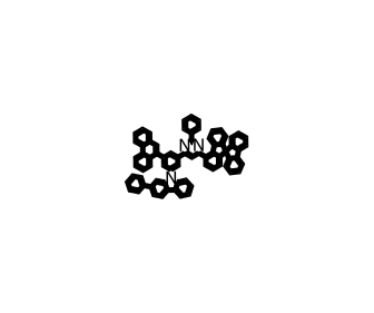 c1ccc(-c2ccc3c4ccccc4n(-c4cc(-c5cc(-c6cccc7c6-c6ccccc6C76c7ccccc7-c7ccccc76)nc(-c6ccccc6)n5)cc(-c5cc6ccccc6c6ccccc56)c4)c3c2)cc1